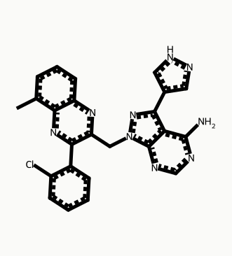 Cc1cccc2nc(Cn3nc(-c4cn[nH]c4)c4c(N)ncnc43)c(-c3ccccc3Cl)nc12